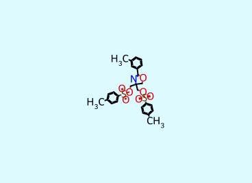 Cc1ccc(S(=O)(=O)OCC2(COS(=O)(=O)c3ccc(C)cc3)COC(c3cccc(C)c3)=N2)cc1